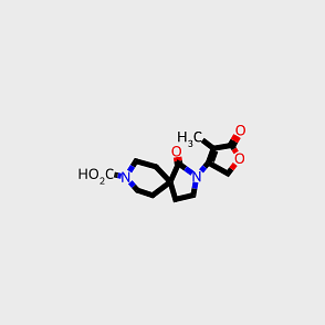 CC1=C(N2CCC3(CCN(C(=O)O)CC3)C2=O)COC1=O